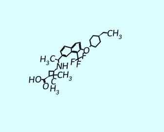 CC[C@H]1CC[C@@H](Oc2ccc3ccc([C@H](C)N[C@@H]4C[C@H](C(=O)O)C4(C)C)cc3c2C(F)(F)F)CC1